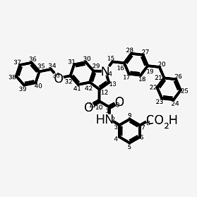 O=C(Nc1cccc(C(=O)O)c1)C(=O)c1cn(Cc2ccc(Cc3ccccc3)cc2)c2ccc(OCc3ccccc3)cc12